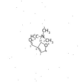 CN(C)C.O=CC1=CCOC1